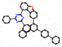 c1ccc(-c2ccc(-c3cc(-c4ccccc4)cc(-c4ccc5oc6cccc(-c7nc(-c8ccccc8)nc(-c8ccccc8)n7)c6c5c4)c3)cc2)cc1